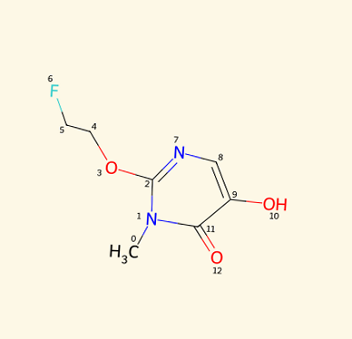 Cn1c(OCCF)ncc(O)c1=O